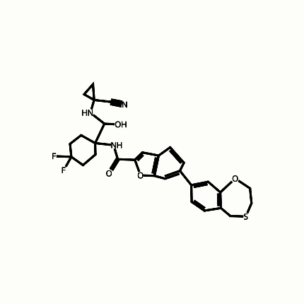 N#CC1(NC(O)C2(NC(=O)c3cc4ccc(-c5ccc6c(c5)OCCSC6)cc4o3)CCC(F)(F)CC2)CC1